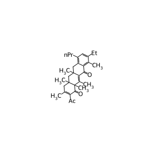 CCCc1cc(CC)c(C)c2c1CC1(C)CC3(C)CC(C)=C(C(C)=O)C(=O)C3(C)C(C)=C1C2=O